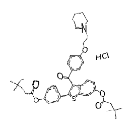 CC(C)(C)CC(=O)Oc1ccc(-c2sc3cc(OC(=O)CC(C)(C)C)ccc3c2C(=O)c2ccc(OCCN3CCCCC3)cc2)cc1.Cl